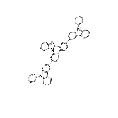 C1=Cc2c(n(-c3ccccc3)c3ccc(-c4ccc5c6ccc(-c7ccc8c(c7)c7ccccc7n8-c7ccccc7)cc6c6nc7ccccc7n6c5c4)cc23)CC1